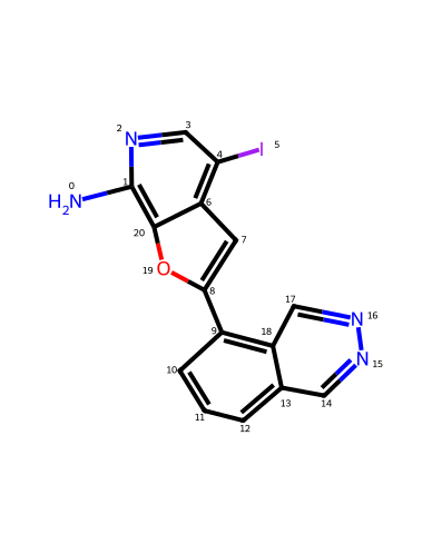 Nc1ncc(I)c2cc(-c3cccc4cnncc34)oc12